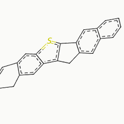 C1=Cc2cc3sc4c(c3cc2CC1)Cc1cc2ccccc2cc1-4